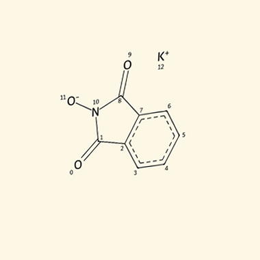 O=C1c2ccccc2C(=O)N1[O-].[K+]